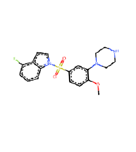 COc1ccc(S(=O)(=O)n2ccc3c(F)cccc32)cc1N1CCNCC1